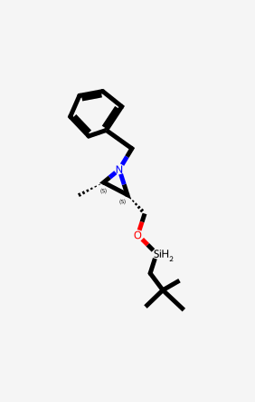 C[C@H]1[C@@H](CO[SiH2]CC(C)(C)C)N1Cc1ccccc1